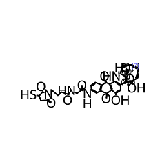 C[C@@H](O)[C@@]12O[C@]13c1cc(O)c4c(c1N[C@H]2C#C/C=C\C#C[C@H]3O)C(=O)c1ccc(NC(=O)CNC(=O)CCCN2C(=O)CC(S)C2=O)cc1C4=O